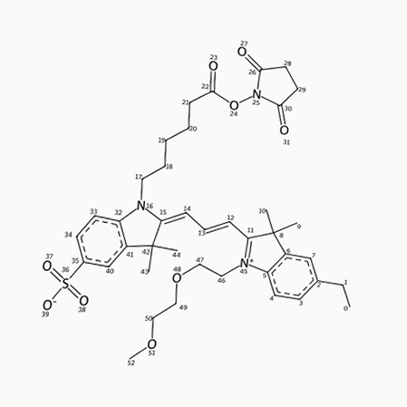 CCc1ccc2c(c1)C(C)(C)C(C=CC=C1N(CCCCCC(=O)ON3C(=O)CCC3=O)c3ccc(S(=O)(=O)[O-])cc3C1(C)C)=[N+]2CCOCCOC